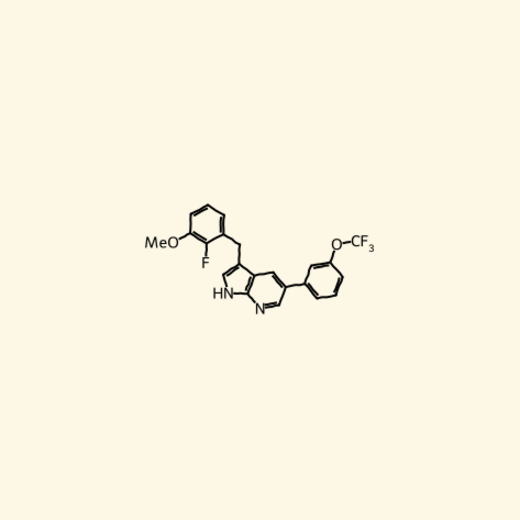 COc1cccc(Cc2c[nH]c3ncc(-c4cccc(OC(F)(F)F)c4)cc23)c1F